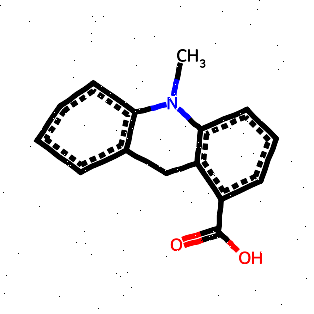 CN1c2ccccc2Cc2c(C(=O)O)cccc21